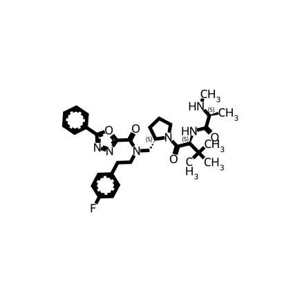 CN[C@@H](C)C(=O)N[C@H](C(=O)N1CCC[C@H]1CN(CCc1ccc(F)cc1)C(=O)c1nnc(-c2ccccc2)o1)C(C)(C)C